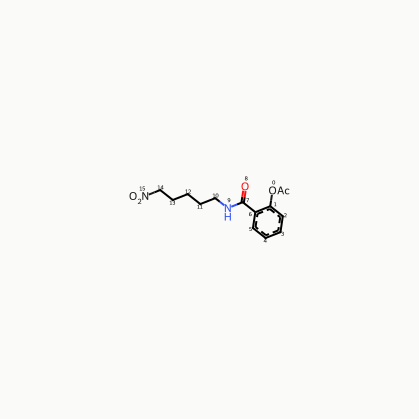 CC(=O)Oc1ccccc1C(=O)NCCCCC[N+](=O)[O-]